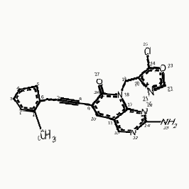 Cc1ccccc1C#Cc1cc2cnc(N)nc2n(Cc2ncoc2Cl)c1=O